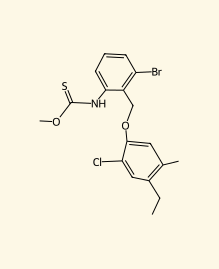 CCc1cc(Cl)c(OCc2c(Br)cccc2NC(=S)OC)cc1C